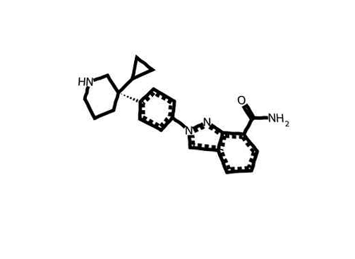 NC(=O)c1cccc2cn(-c3ccc([C@]4(C5CC5)CCCNC4)cc3)nc12